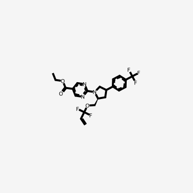 C=CC(F)(F)OC[C@@H]1CC(c2ccc(C(F)(F)F)cc2)CN1c1ncc(C(=O)OCC)cn1